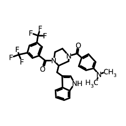 CN(C)c1ccc(C(=O)N2CCN(C(=O)c3cc(C(F)(F)F)cc(C(F)(F)F)c3)C(Cc3c[nH]c4ccccc34)C2)cc1